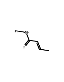 CC(C)NC(=O)/C=C/I